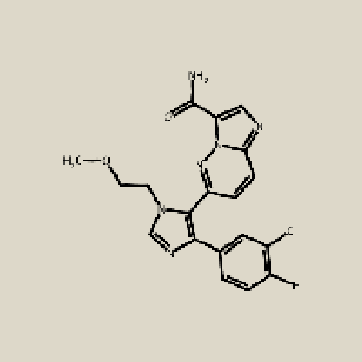 COCCn1cnc(-c2ccc(F)c(Cl)c2)c1-c1ccc2ncc(C(N)=O)n2n1